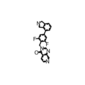 O=c1c2ccncc2ncn1Cc1c(F)cc(-c2cccc3c2C=NC3)cc1F